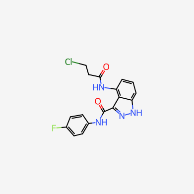 O=C(CCCl)Nc1cccc2[nH]nc(C(=O)Nc3ccc(F)cc3)c12